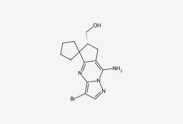 Nc1c2c(nc3c(Br)cnn13)C1(CCCC1)[C@H](CO)C2